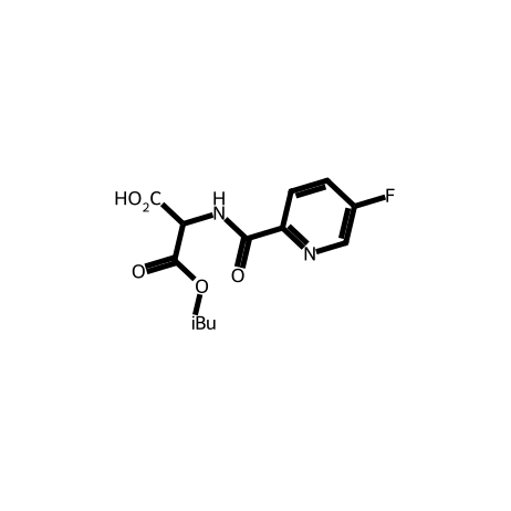 CCC(C)OC(=O)C(NC(=O)c1ccc(F)cn1)C(=O)O